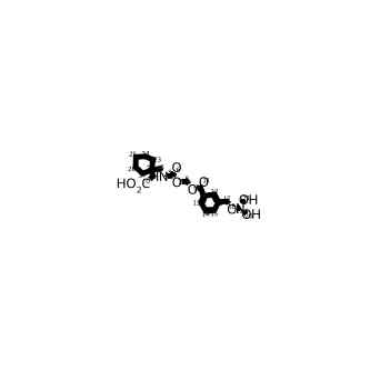 O=C(O)CC1(CNC(=O)OCOC(=O)c2cccc(CON(O)O)c2)CCCCC1